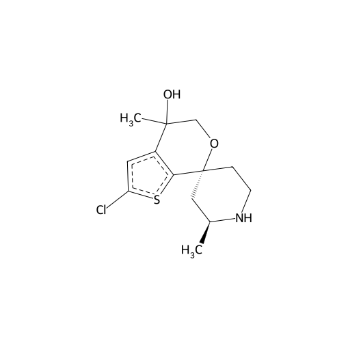 C[C@H]1C[C@@]2(CCN1)OCC(C)(O)c1cc(Cl)sc12